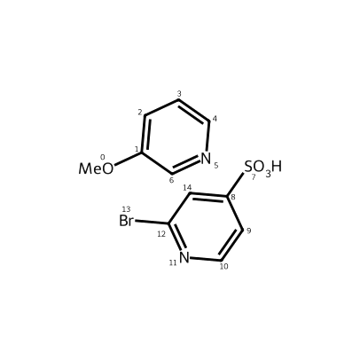 COc1cccnc1.O=S(=O)(O)c1ccnc(Br)c1